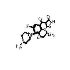 C[C@H]1COc2c(N3CCN(C)CC3)c(F)cc3c(=O)c4c(=O)[nH]sc4n1c23